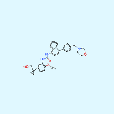 COc1ccc(C2(CO)CC2)cc1NC(=O)Nc1ccc(-c2ccc(CN3CCOCC3)cc2)c2ccccc12